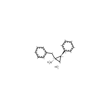 Cl.N[C@@]1(Cc2ccccc2)C[C@@H]1c1ccccc1